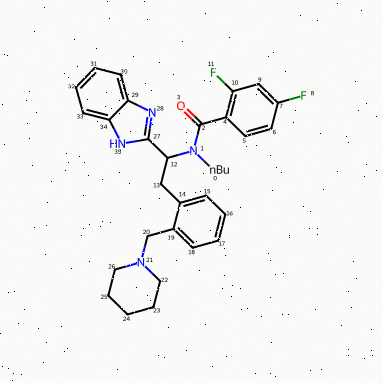 CCCCN(C(=O)c1ccc(F)cc1F)C(Cc1ccccc1CN1CCCCC1)c1nc2ccccc2[nH]1